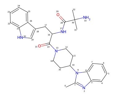 Cc1nc2ccccc2n1C1CCN(C(=O)C(Cc2c[nH]c3ccccc23)NC(=O)C(C)(C)N)CC1